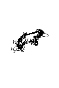 CN[C@@H](C)C(=O)N[C@H](C(=O)N1CCC[C@H]1c1nc(C(=O)c2cccc(OCCCCCCCCCC(=O)N3CCN(c4ccc(Nc5ncc6c(C)c(C(C)=O)c(=O)n(C7CCCC7)c6n5)nc4)CC3)c2)cs1)C1CCCCC1